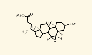 COC(=O)CC[C@@H](C)C1CCC2C3C(CC[C@@]21C)[C@@]1(C)CC[C@@H](OC(C)=O)C[C@H]1[C@H]1O[C@@H]31